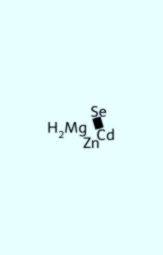 [MgH2].[Se]=[Cd].[Zn]